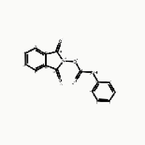 O=C(Nc1ccccc1)ON1C(=O)c2ccccc2C1=O